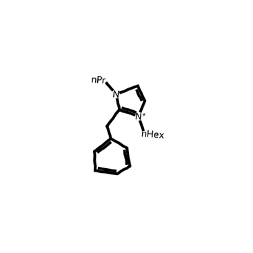 CCCCCC[n+]1ccn(CCC)c1Cc1ccccc1